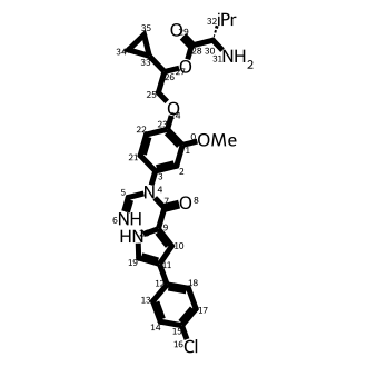 COc1cc(N(C=N)C(=O)c2cc(-c3ccc(Cl)cc3)c[nH]2)ccc1OCC(OC(=O)[C@@H](N)C(C)C)C1CC1